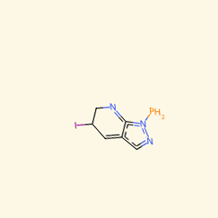 Pn1ncc2c1=NCC(I)C=2